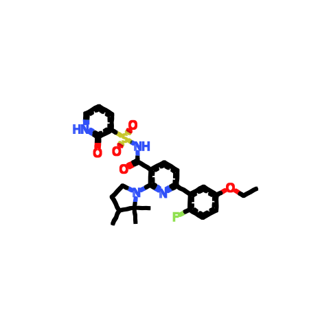 CCOc1ccc(F)c(-c2ccc(C(=O)NS(=O)(=O)c3ccc[nH]c3=O)c(N3CCC(C)C3(C)C)n2)c1